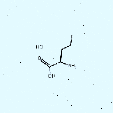 Cl.NC(CCF)C(=O)O